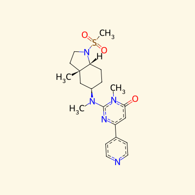 CN(c1nc(-c2ccncc2)cc(=O)n1C)[C@@H]1CC[C@H]2N(S(C)(=O)=O)CC[C@@]2(C)C1